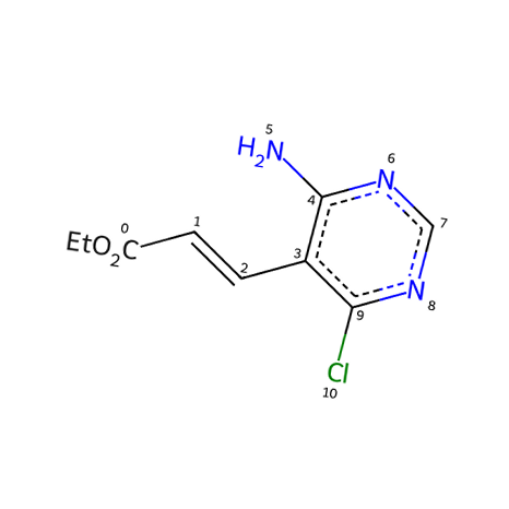 CCOC(=O)C=Cc1c(N)ncnc1Cl